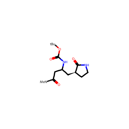 CNC(=O)CC(C[C@@H]1CCNC1=O)NC(=O)OC(C)(C)C